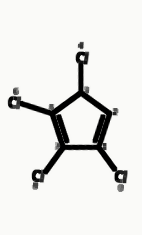 ClC1=CC(Cl)C(Cl)=C1Cl